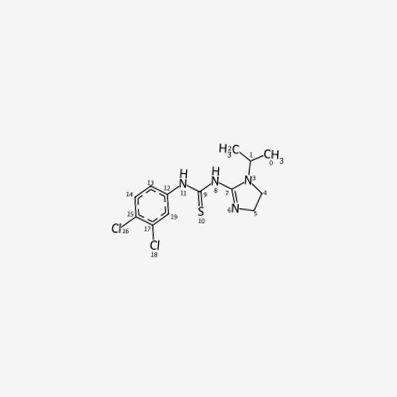 CC(C)N1CCN=C1NC(=S)Nc1ccc(Cl)c(Cl)c1